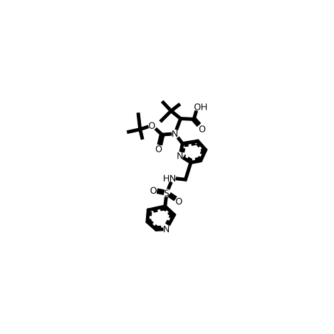 CC(C)(C)OC(=O)N(c1cccc(CNS(=O)(=O)c2cccnc2)n1)C(C(=O)O)C(C)(C)C